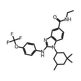 CCNC(=O)c1ccc2c(c1)nc(Nc1ccc(OC(F)(F)F)cc1)n2C1CC(C)CC(C)(C)C1